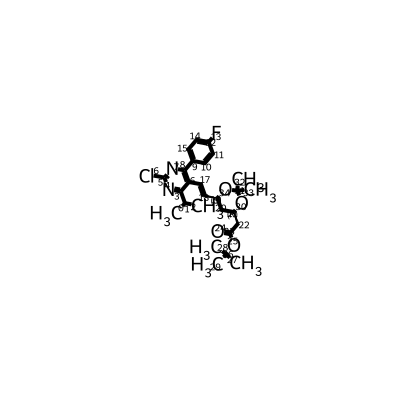 CC(C)c1nc(Cl)nc(-c2ccc(F)cc2)c1C=C[C@@H]1C[C@H](CC(=O)OC(C)(C)C)OC(C)(C)O1